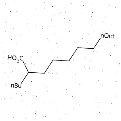 CCCCCCCCCCCCCC(CCCC)C(=O)O